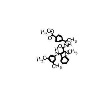 COC(=O)c1ccc(C(C)NC(=O)c2c(Nc3cc(C)cc(C)c3)c3ccccc3n2C)cc1